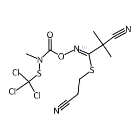 CN(SC(Cl)(Cl)Cl)C(=O)O/N=C(\SCCC#N)C(C)(C)C#N